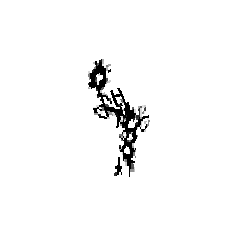 CN1C(=O)C(Cc2ccc(F)c(F)c2)C(=O)c2nc(C(=O)NCc3ccccc3)oc21